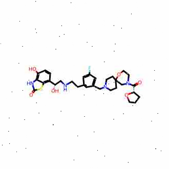 O=C([C@@H]1CCCO1)N1CCOC2(CCN(Cc3cc(F)cc(CCNC[C@H](O)c4ccc(O)c5[nH]c(=O)sc45)c3)CC2)C1